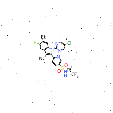 CCc1cc2c(cc1F)c(C#N)c(-c1ccc(S(=O)(=O)N[C@@H](C)C(F)(F)F)cn1)n2-c1ncc(Cl)cn1